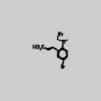 CC(C)CN(C)c1ccc(Br)cc1C=CC(=O)O